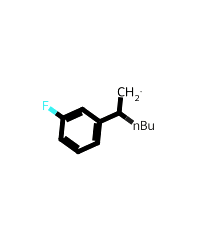 [CH2]C(CCCC)c1cccc(F)c1